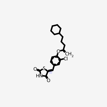 C=C(CCCC1CCCCC1)Oc1ccc(/C=C2\SC(=O)NC2=O)cc1Cl